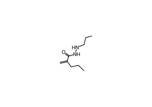 C=C(CCC)C(=O)NNCCC